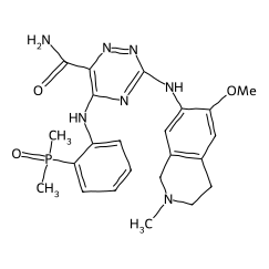 COc1cc2c(cc1Nc1nnc(C(N)=O)c(Nc3ccccc3P(C)(C)=O)n1)CN(C)CC2